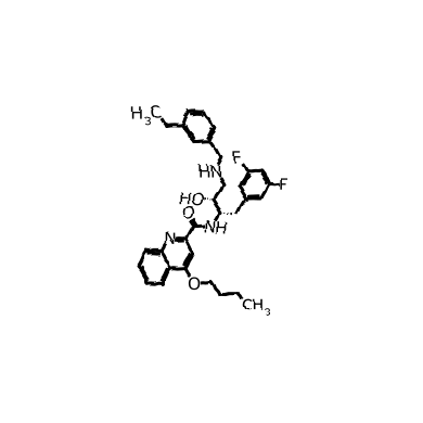 CCCCOc1cc(C(=O)N[C@@H](Cc2cc(F)cc(F)c2)[C@H](O)CNCc2cccc(CC)c2)nc2ccccc12